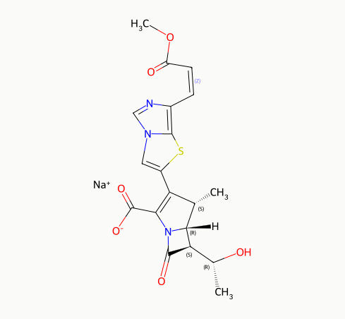 COC(=O)/C=C\c1ncn2cc(C3=C(C(=O)[O-])N4C(=O)[C@H]([C@@H](C)O)[C@H]4[C@H]3C)sc12.[Na+]